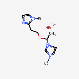 Br.CCn1cc[n+](C(C)OCCc2nccn2CC)c1.[Br-]